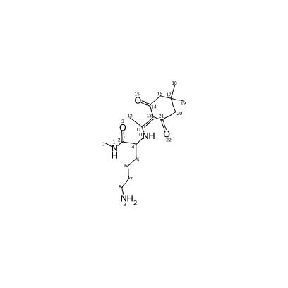 CNC(=O)C(CCCCN)NC(C)=C1C(=O)CC(C)(C)CC1=O